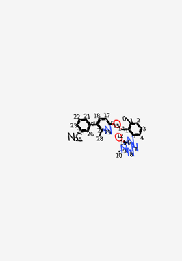 Cc1cccc(-n2nnn(C)c2=O)c1COc1ccc(-c2cccc(C#N)c2)c(C)n1